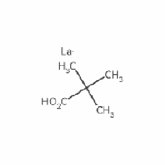 CC(C)(C)C(=O)O.[La]